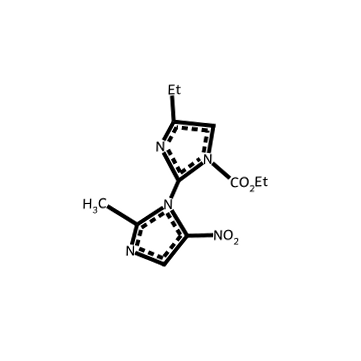 CCOC(=O)n1cc(CC)nc1-n1c([N+](=O)[O-])cnc1C